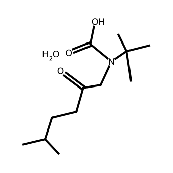 CC(C)CCC(=O)CN(C(=O)O)C(C)(C)C.O